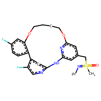 CC(C)N=S(C)(=O)Cc1cc2nc(c1)OCCCCOc1cc(F)ccc1-c1cc(ncc1F)N2